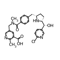 Cc1ncc(CN(C)C(=O)c2ccc(C[C@@H]3CC[C@H]([C@H](O)c4ccc(Cl)nc4)N3)cc2)cc1C(=O)O